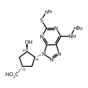 CCCCNc1nc(SCCC)nc2c1nnn2[C@@H]1C[C@H](C(=O)O)C[C@H]1O